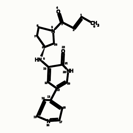 CC=CC(=O)N1CC[C@@H](Nc2cc(-c3ccncc3)c[nH]c2=O)C1